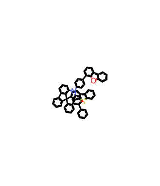 c1ccc(-c2ccc(N(c3ccc(-c4cccc5c4oc4ccccc45)cc3)c3cccc4c3C3(c5ccccc5-4)c4ccccc4-c4c3ccc3c4sc4ccccc43)cc2)cc1